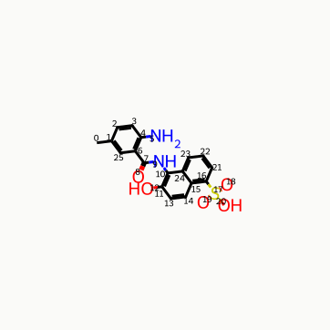 Cc1ccc(N)c(C(=O)Nc2c(O)ccc3c(S(=O)(=O)O)cccc23)c1